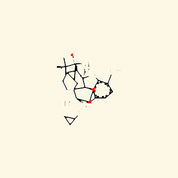 COC1[C@@H]2CC[C@@]3(C[C@@H]2[C@](C)(O)C(C)(C)C)[C@H]2Cc4ccc(O)c5c4[C@@]3(CCN2CC2CC2)[C@H]1O5